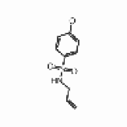 C=CCNS(=O)(=O)c1ccc([O])cc1